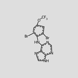 FC(F)(F)Oc1cc(Br)c(Nc2ncnc3[nH]cnc23)c(Br)c1